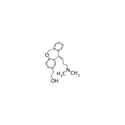 CN(C)CC/C=C1/c2ccccc2COc2ccc(CCO)cc21